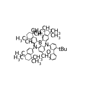 Cc1cc2c3c(c1)N(c1ccc(C(C)(C)C)c4c1oc1ccccc14)c1cc4c(cc1B3c1cc3c(cc1N2c1ccc2c(c1)C(C)(C)CCC2(C)C)C(C)(C)CCC3(C)C)C(C)(C)CC4(C)C